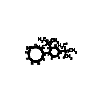 CC(C)(C)c1ccc(-c2ccccc[pH]cc2)c(C(C)(C)C)c1